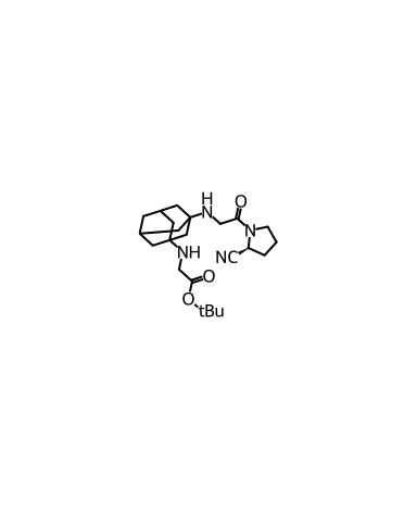 CC(C)(C)OC(=O)CNC12CC3CC(C1)CC(NCC(=O)N1CCC[C@H]1C#N)(C3)C2